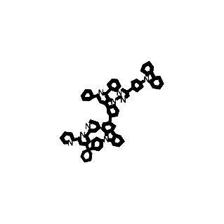 c1ccc(-c2cc3c4cc(-c5ccc6c(c5)c5ccccc5n6-c5ccc(C6(c7cc(-c8ccccn8)nc(-c8ccccn8)c7)CCCCC6)cc5)ccc4n(-c4ncc(-c5ccc(-n6c7ccccc7c7ccccc76)cc5)cn4)c3c(-c3ccccc3)n2)cc1